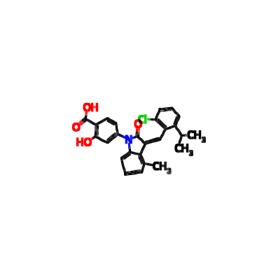 Cc1cccc2c1/C(=C/c1c(Cl)cccc1C(C)C)C(=O)N2c1ccc(C(=O)O)c(O)c1